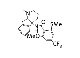 COc1cc(C(F)(F)F)cc(SC)c1C(=O)NC1(c2ccccc2)CCCN(C)C1C